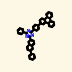 C1=CC2c3ccccc3-c3cc(-c4ccc(-c5nc(-c6ccccc6)nc(-c6ccc7cc(-c8ccccc8)ccc7c6)n5)cc4)ccc3C2C=C1